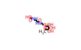 C[C@@H]1O[C@@H](OCCNC(=O)CCCNC(=O)O)[C@@H](O)[C@H](O)[C@@H]1O